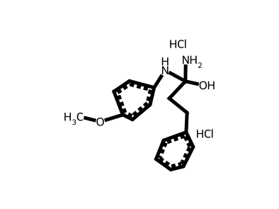 COc1ccc(NC(N)(O)CCc2ccccc2)cc1.Cl.Cl